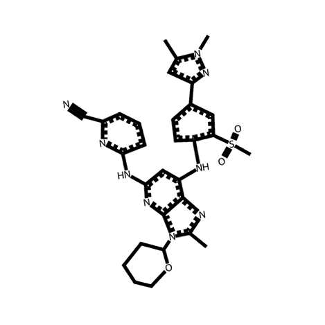 Cc1cc(-c2ccc(Nc3cc(Nc4cccc(C#N)n4)nc4c3nc(C)n4C3CCCCO3)c(S(C)(=O)=O)c2)nn1C